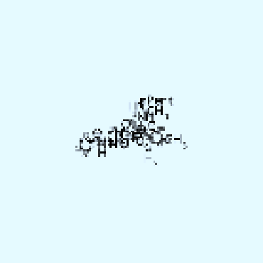 CCCCCNC(C)NC[C@H]1O[C@@H](n2ccc(NC(=O)c3ccccc3)nc2=O)C(F)(F)[C@@H]1OC(=O)c1c(C)cc(C)cc1C